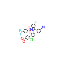 COC(=O)c1ccc(-c2cccc(-c3c(-c4cccc(C#N)c4)c4cc(F)ccc4n3S(=O)(=O)c3ccc(C(F)F)cc3)c2)c(Cl)c1